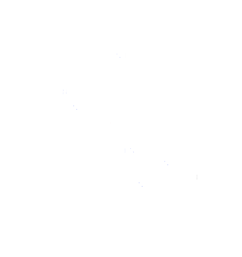 Cc1ccnc(Nc2cccc(C3CNCC(c4nccs4)C3C(N)=O)c2)n1